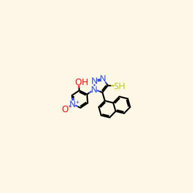 [O-][n+]1ccc(-n2nnc(S)c2-c2cccc3ccccc23)c(O)c1